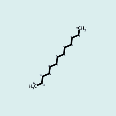 [CH2]CC[CH]CCCCCCCCC